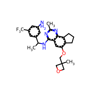 Cc1nc(NC(C)c2cc(N)cc(C(F)(F)F)c2)c2cc(OCC3(C)COC3)c3c(c2n1)CCC3